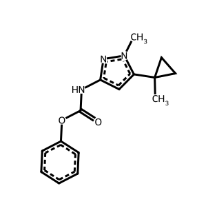 Cn1nc(NC(=O)Oc2ccccc2)cc1C1(C)CC1